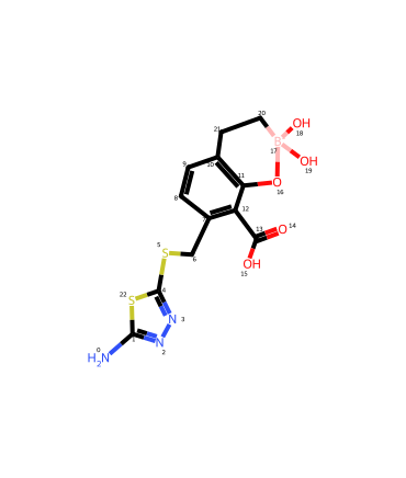 Nc1nnc(SCc2ccc3c(c2C(=O)O)O[B-](O)(O)CC3)s1